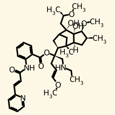 CCNC[C@@](C/C=C/OC)(OC(=O)c1ccccc1NC(=O)/C=C/c1ccccn1)[C@H]1CC2C[C@]1(C)[C@@H]1C[C@H](C)[C@H](OC)[C@]1(O)[C@]2(O)C[C@@H](C)OC